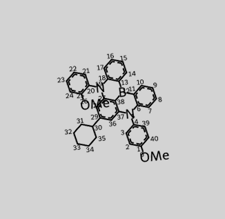 COc1ccc(N2c3ccccc3B3c4ccccc4N(c4ccccc4OC)c4cc(C5CCCCC5)cc2c43)cc1